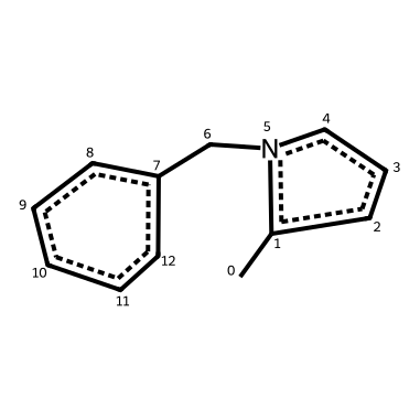 Cc1cccn1Cc1ccccc1